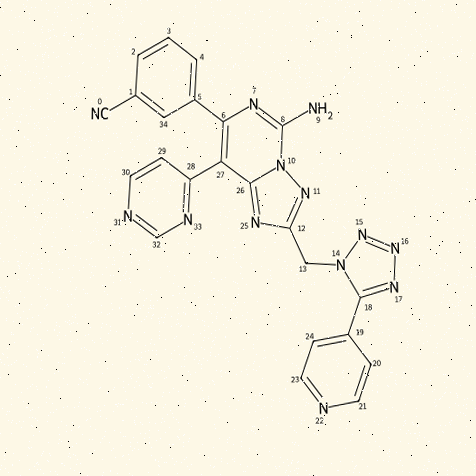 N#Cc1cccc(-c2nc(N)n3nc(Cn4nnnc4-c4ccncc4)nc3c2-c2ccncn2)c1